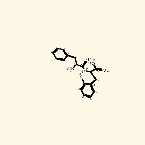 NC(Cc1ccccc1)C(=O)NC(Cc1ccccc1F)C(=O)O